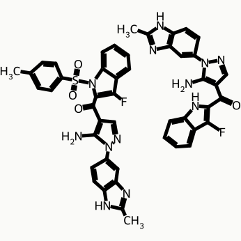 Cc1ccc(S(=O)(=O)n2c(C(=O)c3cnn(-c4ccc5[nH]c(C)nc5c4)c3N)c(F)c3ccccc32)cc1.Cc1nc2cc(-n3ncc(C(=O)c4[nH]c5ccccc5c4F)c3N)ccc2[nH]1